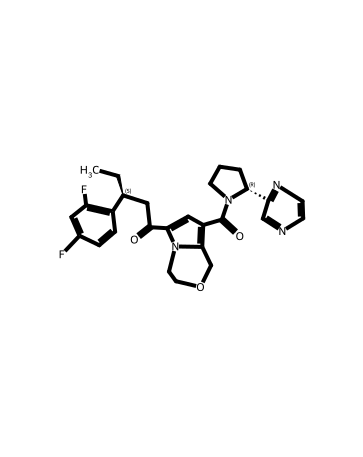 CC[C@@H](CC(=O)c1cc(C(=O)N2CCC[C@@H]2c2cnccn2)c2n1CCOC2)c1ccc(F)cc1F